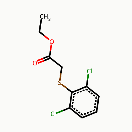 CCOC(=O)CSc1c(Cl)cccc1Cl